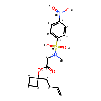 C=CCCC1(OC(=O)CN(C)S(=O)(=O)c2ccc([N+](=O)[O-])cc2)CCC1